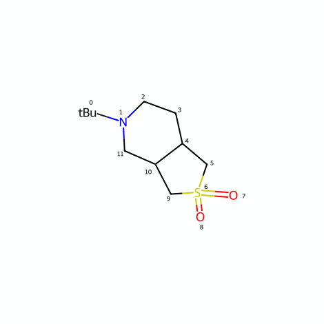 CC(C)(C)N1CCC2CS(=O)(=O)CC2C1